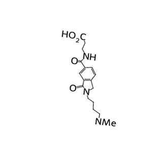 CNCCCCN1Cc2ccc(C(=O)NCCC(=O)O)cc2C1=O